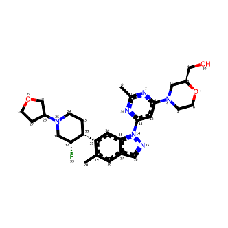 Cc1nc(N2CCO[C@H](CO)C2)cc(-n2ncc3cc(C)c([C@H]4CCN(C5CCOC5)C[C@H]4F)cc32)n1